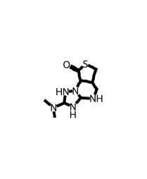 CN(C)C1NC2NCC3CSC(=O)C3N2N1